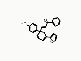 O=C(C=CC1(c2ccc(O)cc2)C=CC=C(c2ccco2)C1)c1ccccc1